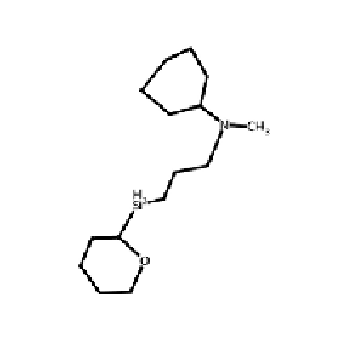 CN(CCC[SiH2]C1CCCCO1)C1CCCCC1